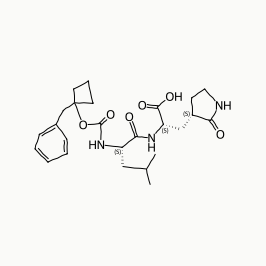 CC(C)C[C@H](NC(=O)OC1(Cc2ccccc2)CCC1)C(=O)N[C@@H](C[C@@H]1CCNC1=O)C(=O)O